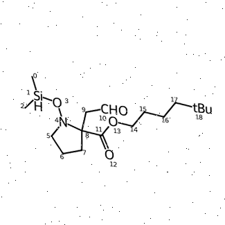 C[SiH](C)ON1CCCC1(CC=O)C(=O)OCCCCC(C)(C)C